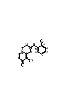 O=c1ccn2c(c1Cl)CN(Cc1ccccc1O)CC2